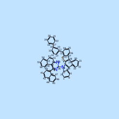 C1=CCC2C(=C1)c1c(c3sc4c(-c5cccc(-c6ccccc6)c5)cccc4c3c3ccccc13)N2c1nc(-c2cccc3ccccc23)c2c(ccc3ccccc32)n1